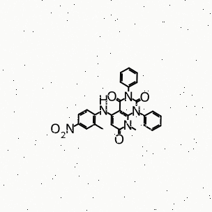 Cc1cc([N+](=O)[O-])ccc1Nc1cc(=O)n(C)c2c1c(=O)n(-c1ccccc1)c(=O)n2-c1ccccc1